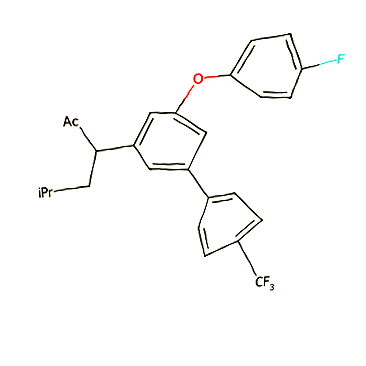 CC(=O)C(CC(C)C)c1cc(Oc2ccc(F)cc2)cc(-c2ccc(C(F)(F)F)cc2)c1